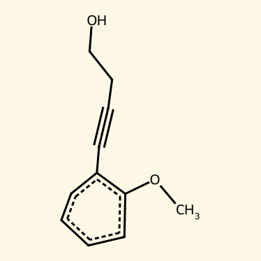 COc1ccccc1C#CCCO